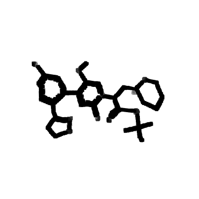 COc1cn(C(C[C@@H]2CCCCO2)C(=O)OC(C)(C)C)c(=O)cc1-c1cc(Cl)ccc1C1=NOCC1